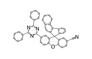 N#Cc1ccc2c(c1)C1(c3cc(-c4nc(-c5ccccc5)nc(-c5ccccc5)n4)ccc3O2)c2ccccc2-c2c1ccc1ccccc21